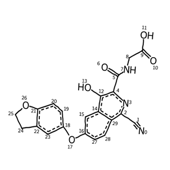 N#Cc1nc(C(=O)NCC(=O)O)c(O)c2cc(Oc3ccc4c(c3)CCO4)ccc12